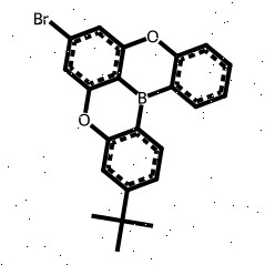 CC(C)(C)c1ccc2c(c1)Oc1cc(Br)cc3c1B2c1ccccc1O3